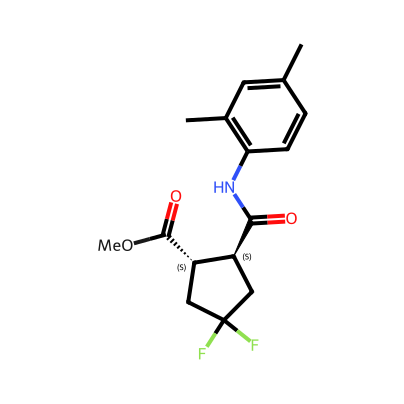 COC(=O)[C@H]1CC(F)(F)C[C@@H]1C(=O)Nc1ccc(C)cc1C